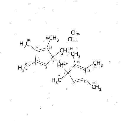 CC1=C[C](C)([Hf+2][C]2(C)C=C(C)C(C)=C2C)C(C)=C1C.[Cl-].[Cl-]